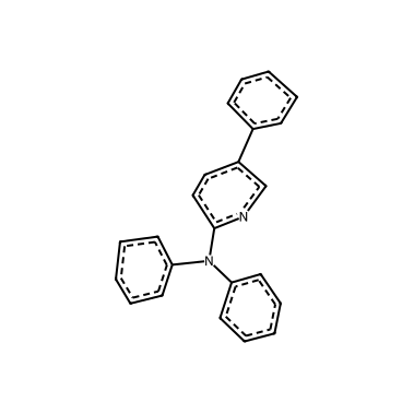 c1ccc(-c2ccc(N(c3ccccc3)c3ccccc3)nc2)cc1